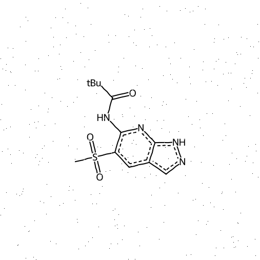 CC(C)(C)C(=O)Nc1nc2[nH]ncc2cc1S(C)(=O)=O